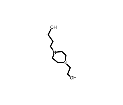 O[CH]CCN1CCN(CCO)CC1